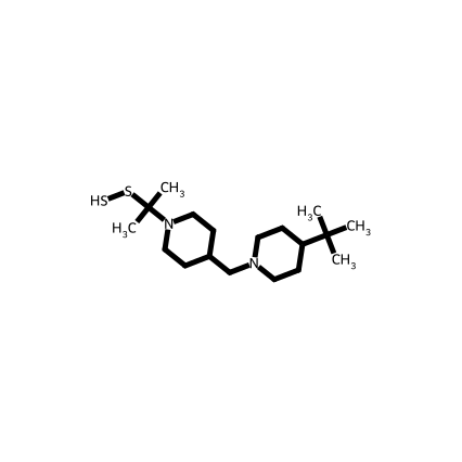 CC(C)(C)C1CCN(CC2CCN(C(C)(C)SS)CC2)CC1